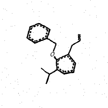 C=CCc1cccc(C(C)C)c1OCc1ccccc1